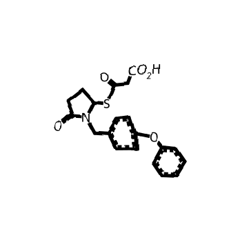 O=C(O)CC(=O)SC1CCC(=O)N1Cc1ccc(Oc2ccccc2)cc1